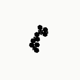 C1=CC2Sc3cccc(-c4nc(-c5ccccc5)nc(-c5cccc(-c6cccc7c8c(sc67)=CCC(c6cccc(-c7nc9ccccc9n7-c7ccccc7)c6)C=8)c5)n4)c3C2C=C1